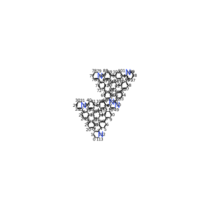 c1ccc(-c2ccc(-c3ccccc3C3CC(c4ccccc4-c4ccc(-c5ccccn5)cc4)CC(c4ccccc4-c4ccc(-c5ccnc(-c6ccc(-c7ccccc7C7CC(c8ccccc8-c8ccc(-c9ccccn9)cc8)CC(c8ccccc8-c8ccc(-c9ccccn9)cc8)C7)cc6)n5)cc4)C3)cc2)nc1